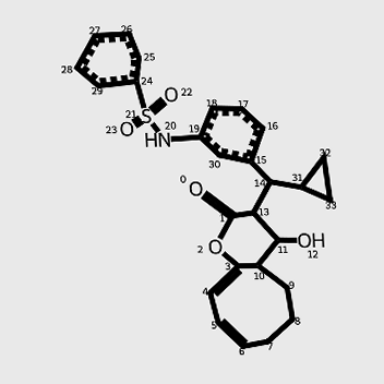 O=C1OC2=CC=CCCCC2C(O)C1C(c1cccc(NS(=O)(=O)c2ccccc2)c1)C1CC1